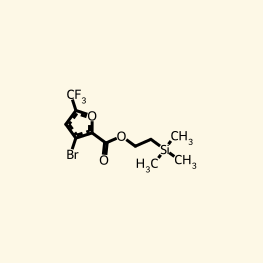 C[Si](C)(C)CCOC(=O)c1oc(C(F)(F)F)cc1Br